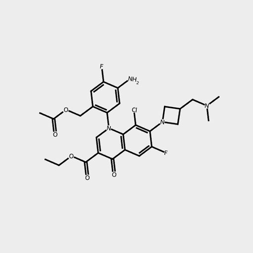 CCOC(=O)c1cn(-c2cc(N)c(F)cc2COC(C)=O)c2c(Cl)c(N3CC(CN(C)C)C3)c(F)cc2c1=O